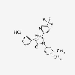 Cc1ccc(N(CCc2ccc(C(F)(F)F)cn2)C(=O)[C@@H](N)c2ccccc2)cc1C.Cl